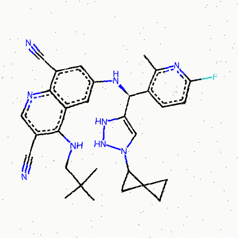 Cc1nc(F)ccc1[C@H](Nc1cc(C#N)c2ncc(C#N)c(NCC(C)(C)C)c2c1)C1=CN(C2CC23CC3)NN1